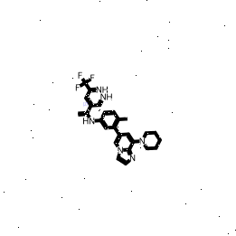 C=C(Nc1ccc(C)c(-c2cc(N3CCCCC3)c3nccn3c2)c1)/C(C=N)=C/C(=N)C(F)(F)F